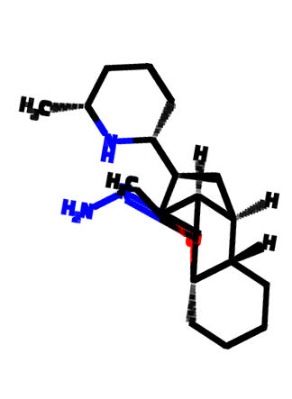 C[C@@H]1CCC[C@H]([C@H]2C[C@@H]3[C@H]4C(=NN)C[C@]5(CCCC[C@@H]35)OC24C)N1